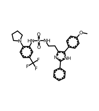 COc1ccc(-c2[nH]c(-c3ccccc3)nc2CCNS(=O)(=O)Nc2cc(C(F)(F)F)ccc2N2CCCC2)cc1